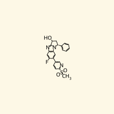 CS(=O)(=O)c1ccc(-c2cc3c(cc2F)nc2n3[C@H](c3ccccc3)CC2O)cn1